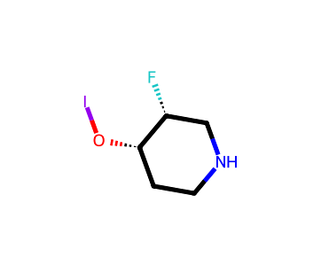 F[C@@H]1CNCC[C@@H]1OI